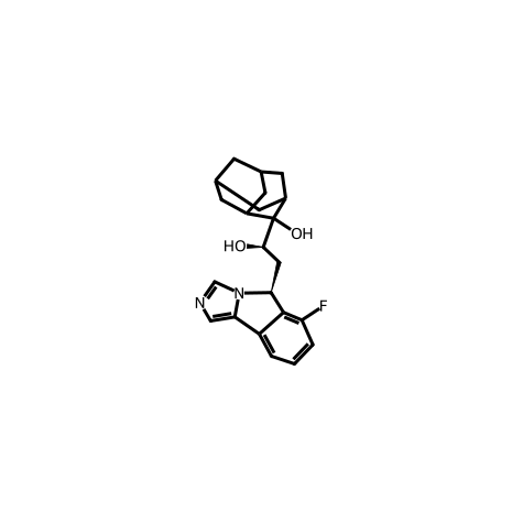 O[C@H](C[C@H]1c2c(F)cccc2-c2cncn21)C1(O)C2CC3CC(C2)CC1C3